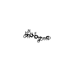 N#C[C@]1(c2ccc(-c3ccc(N4C[C@H](COc5ccon5)OC4=O)cc3F)cn2)[C@@H]2COC[C@@H]21